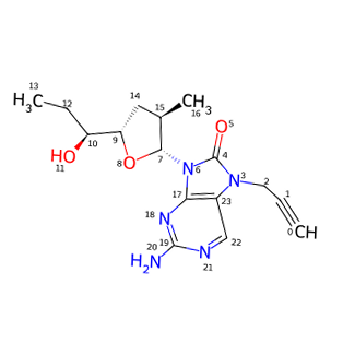 C#CCn1c(=O)n([C@@H]2O[C@H]([C@@H](O)CC)C[C@H]2C)c2nc(N)ncc21